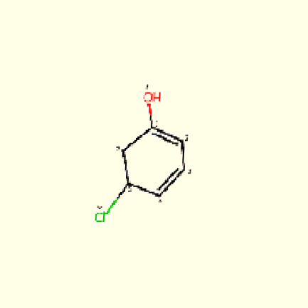 OC1=CC=CC(Cl)C1